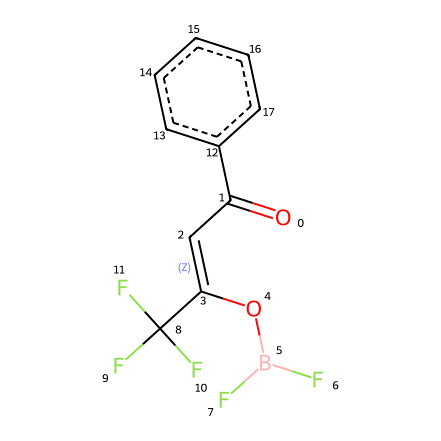 O=C(/C=C(\OB(F)F)C(F)(F)F)c1ccccc1